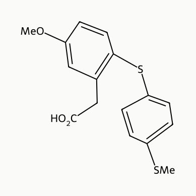 COc1ccc(Sc2ccc(SC)cc2)c(CC(=O)O)c1